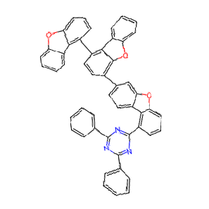 c1ccc(-c2nc(-c3ccccc3)nc(-c3cccc4oc5cc(-c6ccc(-c7cccc8oc9ccccc9c78)c7c6oc6ccccc67)ccc5c34)n2)cc1